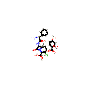 N[C@@H](C(=O)N[C@@H]1C(=O)N2C(C(=O)O)=C(Cl)CC[C@H]12)c1ccccc1.O.O=C(O)c1ccc(O)cc1